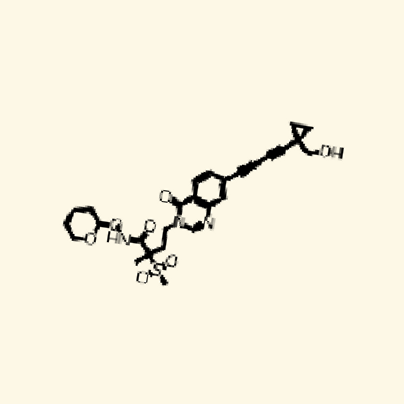 CC(CCn1cnc2cc(C#CC#CC3(CO)CC3)ccc2c1=O)(C(=O)NOC1CCCCO1)S(C)(=O)=O